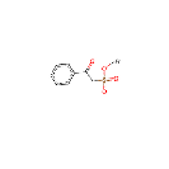 CC(C)OS(=O)(=O)CC(=O)c1ccccc1